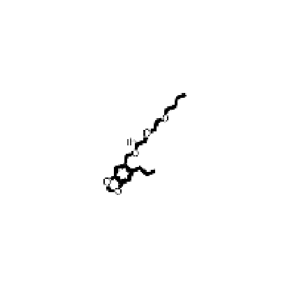 CCCCOCCOCCOCc1cc2c(cc1CCC)OCO2.[Th]